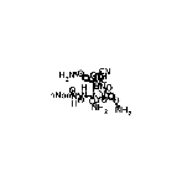 CCCCCCCCCC(=O)NCC(=O)NCCC(=O)N[C@@H](CCN)C(=O)N(C)[C@H](C(=O)N[C@@H](C)C(=O)N[C@@H](Cc1ccc(OCCN)cc1)C(=O)NCC#N)c1ccc(OCCN)cc1